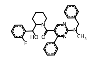 CN(Cc1ccccc1)c1ncc(C(=O)N2CCCCC2C(O)c2ccccc2F)c(-c2ccccc2)n1